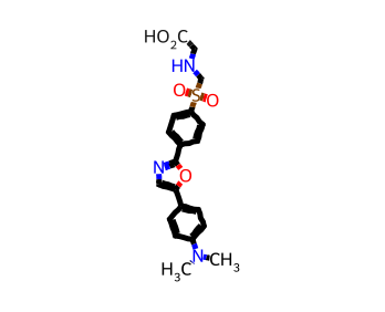 CN(C)c1ccc(-c2cnc(-c3ccc(S(=O)(=O)CNCC(=O)O)cc3)o2)cc1